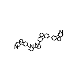 c1cc(-c2ccc3oc4ccncc4c3c2)nc(-c2cccc(-c3ccc4oc5ccc(-c6ccc7oc8ccncc8c7c6)cc5c4c3)n2)c1